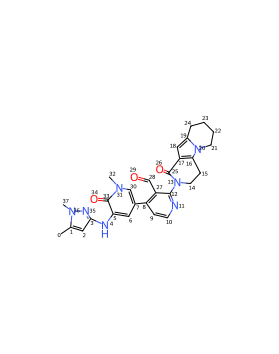 Cc1cc(Nc2cc(-c3ccnc(N4CCc5c(cc6n5CCCC6)C4=O)c3C=O)cn(C)c2=O)nn1C